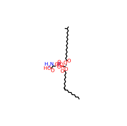 CCCCCCCC/C=C\CCCCCCCC(=O)O[C@H](COC(=O)CCCCCCCCCCCCCCC(C)C)COP(=O)(O)OC[C@H](N)C(=O)O